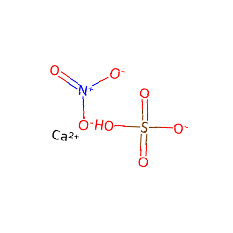 O=S(=O)([O-])O.O=[N+]([O-])[O-].[Ca+2]